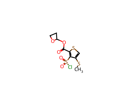 CSc1csc(C(=O)OC2CCO2)c1S(=O)(=O)Cl